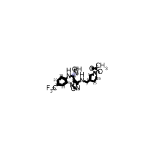 CS(=O)(=O)N1C=C(CNc2nonc2/C(=N/O)Nc2ccc(C(F)(F)F)cc2)CC1